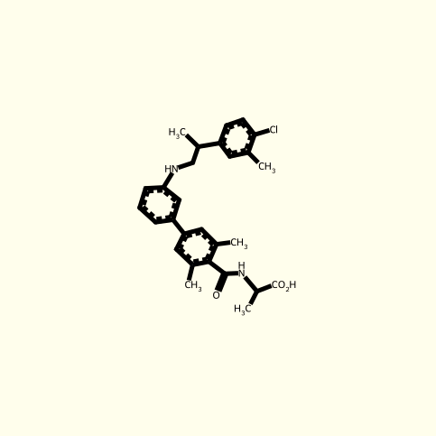 Cc1cc(C(C)CNc2cccc(-c3cc(C)c(C(=O)NC(C)C(=O)O)c(C)c3)c2)ccc1Cl